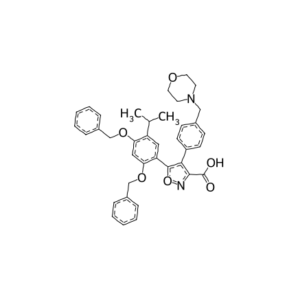 CC(C)c1cc(-c2onc(C(=O)O)c2-c2ccc(CN3CCOCC3)cc2)c(OCc2ccccc2)cc1OCc1ccccc1